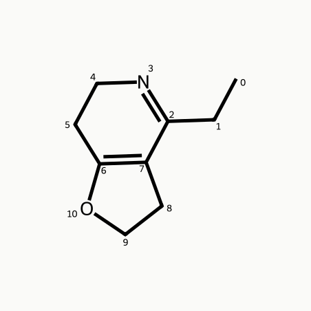 CCC1=NCCC2=C1CCO2